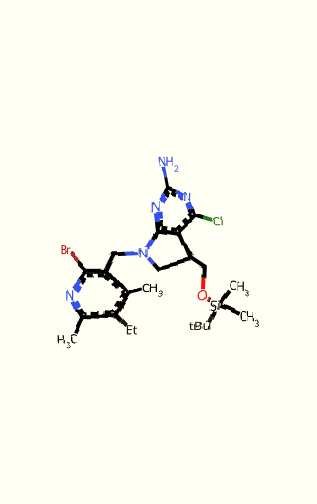 CCc1c(C)nc(Br)c(CN2CC(CO[Si](C)(C)C(C)(C)C)c3c(Cl)nc(N)nc32)c1C